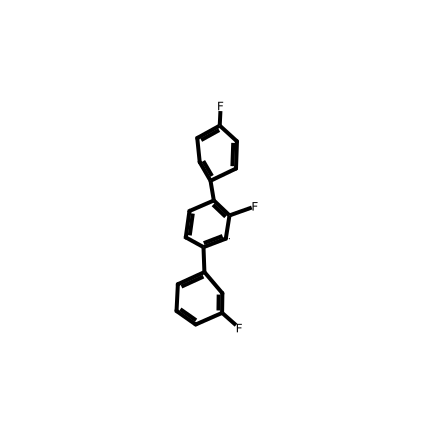 Fc1ccc(-c2ccc(-c3cccc(F)c3)[c]c2F)cc1